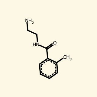 Cc1ccccc1C(=O)NCCN